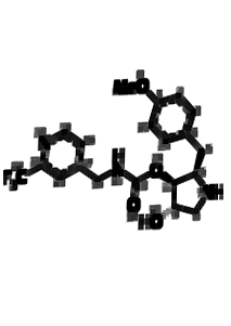 COc1ccc(C[C@H]2NC[C@H](O)[C@H]2OC(=O)NCc2ccnc(C(F)(F)F)c2)cc1